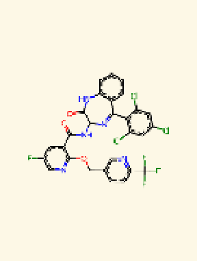 O=C(NC1N=C(c2c(Cl)cc(Cl)cc2Cl)c2ccccc2NC1=O)c1cc(F)cnc1OCc1ccc(C(F)(F)F)nc1